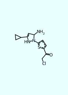 NC1C=C(C2CC2)NN1c1ccc(C(=O)CCl)s1